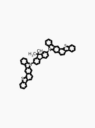 CC1(C)c2cc(-n3c4ccccc4c4cc5c(ccc6c7ccccc7sc56)cc43)ccc2-c2ccc(-n3c4ccccc4c4cc5c(ccc6c7ccccc7sc56)cc43)cc21